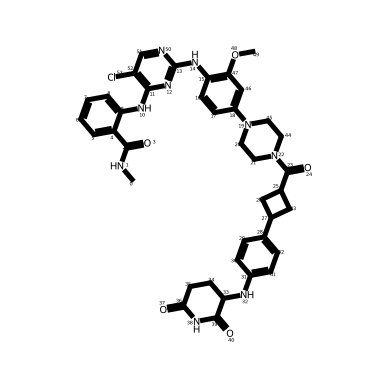 CNC(=O)c1ccccc1Nc1nc(Nc2ccc(N3CCN(C(=O)C4CC(c5ccc(NC6CCC(=O)NC6=O)cc5)C4)CC3)cc2OC)ncc1Cl